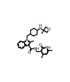 Cc1cc(C)c(CNC(=O)c2c(C)n(CC3CCC(NC4(C)COC4)CC3)c3ccccc23)c(=O)[nH]1